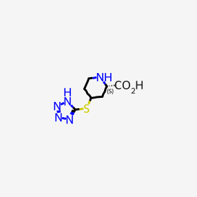 O=C(O)[C@@H]1CC(Sc2nnn[nH]2)CCN1